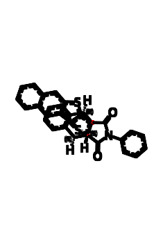 O=C1C2[C@@H]3c4ccccc4[C@@H](c4sc5c(sc6cc7ccccc7cc65)c43)[C@H]2C(=O)N1c1ccccc1